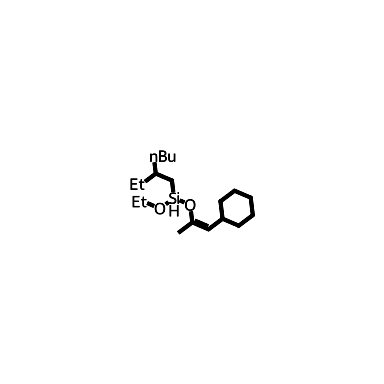 CCCCC(CC)C[SiH](OCC)OC(C)=CC1CCCCC1